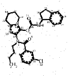 CCCCN(C(=O)c1cccc(Cl)c1)c1nc2n(c1OC(=O)NC1CCc3ccccc31)CCCC2